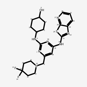 OC1CCC(Nc2nc(CN3CCC(F)(F)CC3)cc(Nc3nc4cccnc4s3)n2)CC1